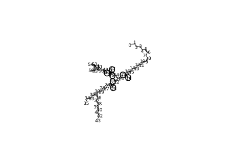 CCCCC/C=C\C/C=C\CCCCCCCC(=O)OCC(COC(=O)CCCCCC(CCCC)CCCCCCCC)COC(=O)OCCCN(CC)CC